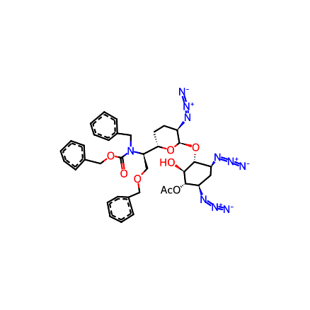 CC(=O)O[C@@H]1[C@@H](O)[C@H](O[C@H]2O[C@H]([C@@H](COCc3ccccc3)N(Cc3ccccc3)C(=O)OCc3ccccc3)CC[C@H]2N=[N+]=[N-])[C@@H](N=[N+]=[N-])C[C@H]1N=[N+]=[N-]